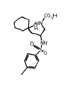 Cc1ccc(S(=O)(=O)NC(CNC(=O)O)CC2(O)CCCCC2)cc1